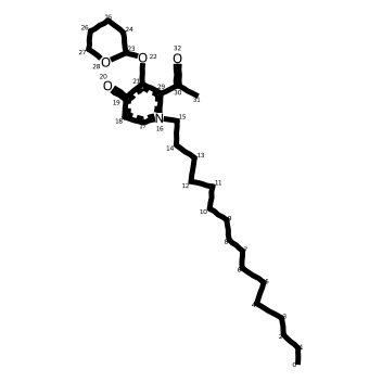 CCCCCCCCCCCCCCCCn1ccc(=O)c(OC2CCCCO2)c1C(C)=O